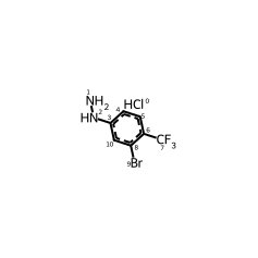 Cl.NNc1ccc(C(F)(F)F)c(Br)c1